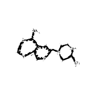 CC1CN(c2cc3c(N)ncnc3cn2)CCN1